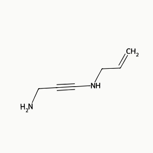 C=CCNC#CCN